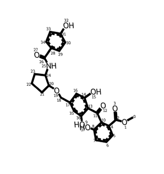 COC(=O)c1cccc(O)c1C(=O)c1c(O)cc(COC2CCCC2NC(=O)c2ccc(O)cc2)cc1O